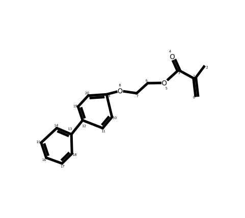 C=C(C)C(=O)OCCOc1ccc(-c2ccccc2)cc1